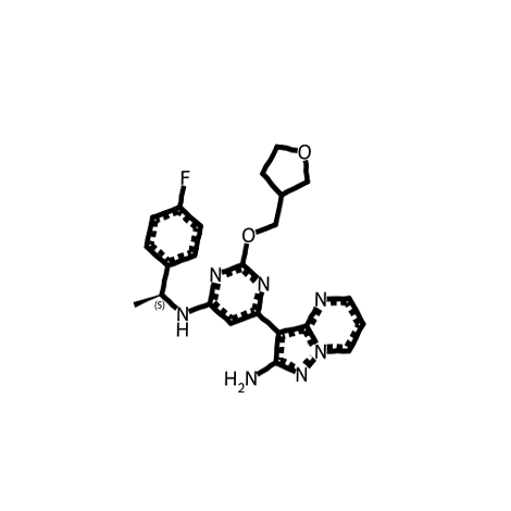 C[C@H](Nc1cc(-c2c(N)nn3cccnc23)nc(OCC2CCOC2)n1)c1ccc(F)cc1